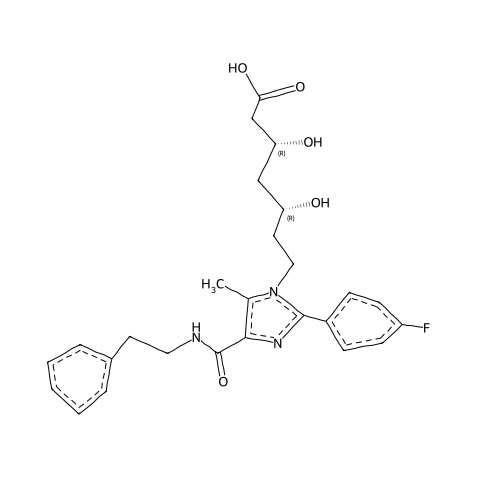 Cc1c(C(=O)NCCc2ccccc2)nc(-c2ccc(F)cc2)n1CC[C@@H](O)C[C@@H](O)CC(=O)O